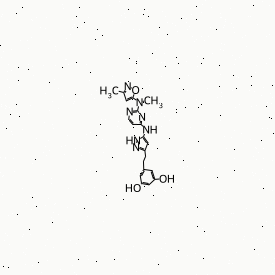 Cc1cc(N(C)c2nccc(Nc3cc(CCc4cc(O)cc(O)c4)n[nH]3)n2)on1